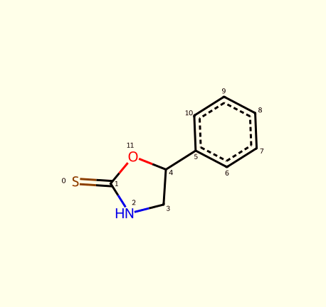 S=C1NCC(c2ccccc2)O1